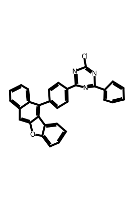 Clc1nc(-c2ccccc2)nc(-c2ccc(-c3c4ccccc4cc4oc5ccccc5c34)cc2)n1